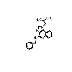 CC(C)Cn1cnc2c(NCc3ccccc3)nc3ccccc3c21